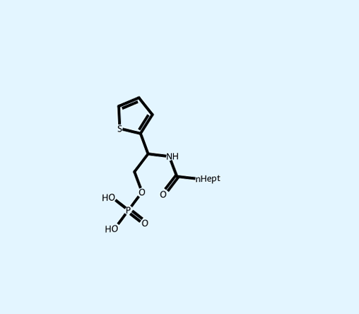 CCCCCCCC(=O)NC(COP(=O)(O)O)c1cccs1